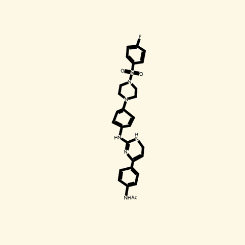 CC(=O)Nc1ccc(C2=CCNC(Nc3ccc(N4CCN(S(=O)(=O)c5ccc(F)cc5)CC4)cc3)=N2)cc1